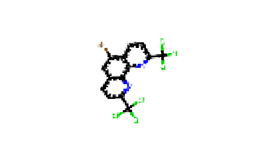 ClC(Cl)(Cl)c1ccc2cc(Br)c3ccc(C(Cl)(Cl)Cl)nc3c2n1